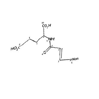 CCCCCCCCC/C=C/C(=O)NC(CCC(=O)O)C(=O)O